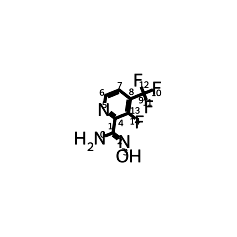 NC(=NO)c1nccc(C(F)(F)F)c1F